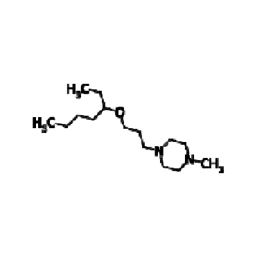 CCCCC(CC)OCCCN1CCN(C)CC1